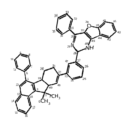 CC1(C)c2c(c(-c3ccccc3)cc3ccccc23)C2CCC(c3cccc(C4N=C(c5ccccc5)c5oc6ccccc6c5N4)c3)=CC21